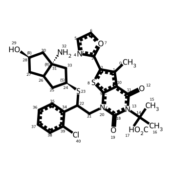 Cc1c(-c2ncco2)sc2c1c(=O)n(C(C)(C)C(=O)O)c(=O)n2CC(S[C@H]1CC2C[C@@H](O)C[C@@]2(N)C1)c1ccccc1Cl